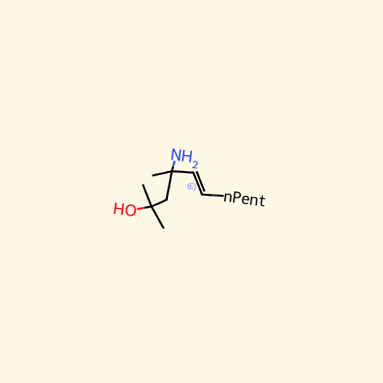 CCCCC/C=C/C(C)(N)CC(C)(C)O